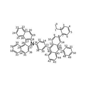 CCc1ccccc1-c1ccc2c(-c3ccc(-n4c5ccc6ccccc6c5c5c6ccccc6ccc54)cc3)c3ccccc3c(-c3ccccc3)c2c1